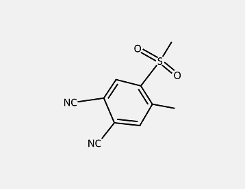 Cc1cc(C#N)c(C#N)cc1S(C)(=O)=O